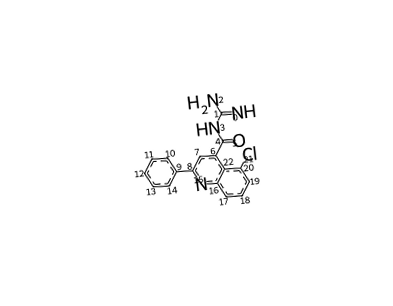 N=C(N)NC(=O)c1cc(-c2ccccc2)nc2cccc(Cl)c12